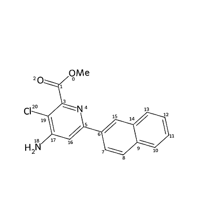 COC(=O)c1nc(-c2ccc3ccccc3c2)cc(N)c1Cl